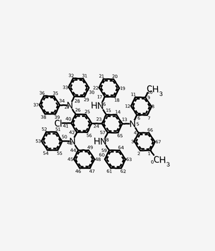 Cc1ccc(N(c2ccc(C)cc2)c2cc(Nc3ccccc3)c(-c3cc(N(c4ccccc4)c4ccccc4)c(Cl)c(N(c4ccccc4)c4ccccc4)c3)c(Nc3ccccc3)c2)cc1